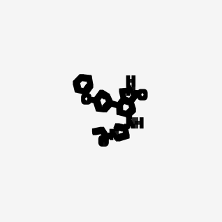 C=CC(=O)n1ccc(Nc2cc3c(c(-c4ccc(Oc5ccccc5)cc4)c2)CNC3=O)c1